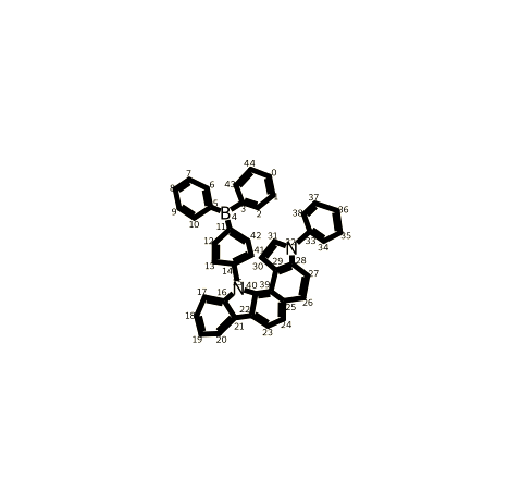 c1ccc(B(c2ccccc2)c2ccc(-n3c4ccccc4c4ccc5ccc6c(ccn6-c6ccccc6)c5c43)cc2)cc1